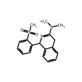 CN(C)C1=NC(c2ccccc2S(C)(=O)=O)c2ccccc2C1